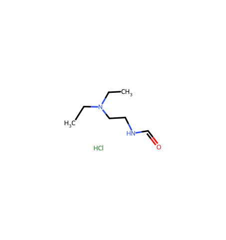 CCN(CC)CCNC=O.Cl